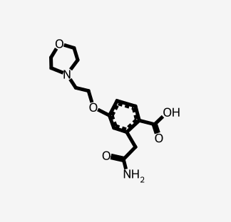 NC(=O)Cc1cc(OCCN2CCOCC2)ccc1C(=O)O